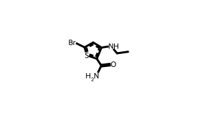 CCNc1cc(Br)sc1C(N)=O